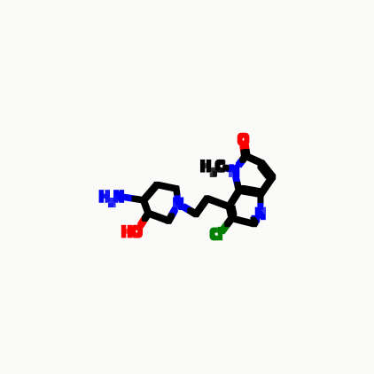 Cn1c(=O)ccc2ncc(Cl)c(CCN3CCC(N)C(O)C3)c21